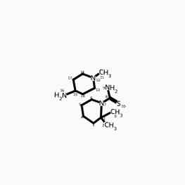 CC1(C)CCCCN1C(N)=S.CN1CCC(N)CC1